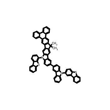 CC1(C)c2cc3c4ccccc4c4ccccc4c3cc2-c2cc3c(cc21)c1cc(-c2ccc4c(c2)c2ccccc2n4-c2ccc4sc5ccccc5c4c2)ccc1n3-c1cccc2c1sc1ccccc12